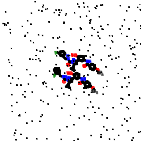 O=C(Nc1ccc(O)c(-c2cc(C3CC3)n(C(=O)NCc3cccc(F)c3)n2)c1)c1ccc(OC(F)(F)F)cc1.O=C(Nc1ccc(O)c(-c2cc(C3CC3)n(C(=O)NCc3ccccc3F)n2)c1)c1ccc(OC(F)(F)F)cc1